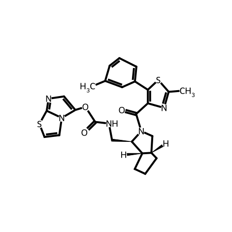 Cc1cccc(-c2sc(C)nc2C(=O)N2C[C@@H]3CCC[C@@H]3[C@H]2CNC(=O)Oc2cnc3sccn23)c1